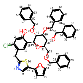 Oc1cc(Cl)c(Cc2ncc(-c3ccco3)s2)cc1[C@@H]1O[C@H](COCc2ccccc2)[C@@H](OCc2ccccc2)[C@H](OCc2ccccc2)[C@H]1OCc1ccccc1